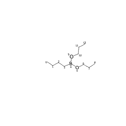 CCCCB(OCCC)OCCC